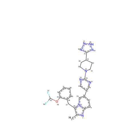 Cc1nc2ccc(-c3cnc(N4CCC(c5nn[nH]n5)CC4)nc3)cn2c1Cc1ccccc1OC(F)F